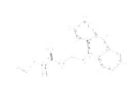 C=CCNC(=O)OCCc1c2ccccc2cc2ccccc12